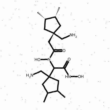 CC1CC(CN)(C(C(=O)NO)N(O)C(=O)C[C@]2(CN)C[C@@H](C)[C@@H](C)C2)CC1C